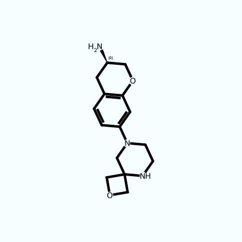 N[C@H]1COc2cc(N3CCNC4(COC4)C3)ccc2C1